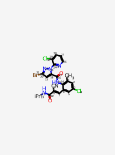 Cc1cc(Cl)cc(/C=C(\C#N)C(=O)NC(C)C)c1NC(=O)c1cc(Br)nn1-c1ncccc1Cl